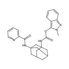 Cn1nc2ccccc2c1OC(=O)NC12CC3CC(C1)CC(NC(=O)c1ccccn1)(C3)C2